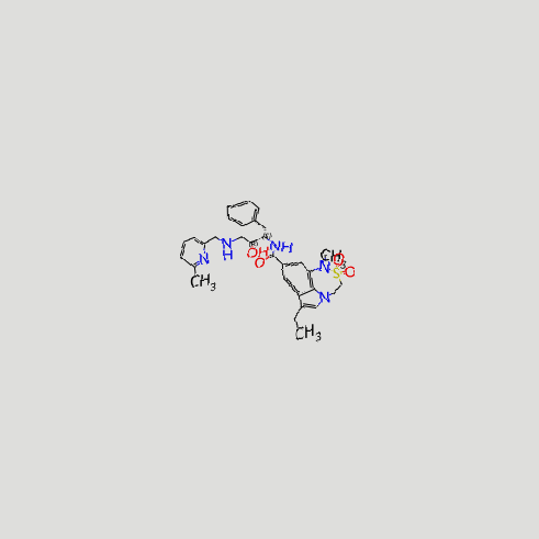 CCc1cn2c3c(cc(C(=O)N[C@@H](Cc4ccccc4)[C@H](O)CNCc4cccc(C)n4)cc13)N(C)S(=O)(=O)CC2